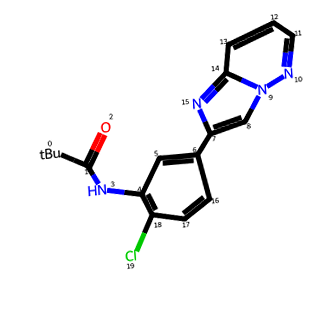 CC(C)(C)C(=O)Nc1cc(-c2cn3ncccc3n2)ccc1Cl